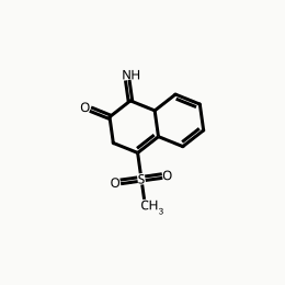 CS(=O)(=O)C1=C2C=CC=CC2C(=N)C(=O)C1